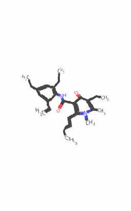 CCCCc1c(C(=O)Nc2c(CC)cc(CC)cc2CC)c(=O)c(CC)c(C)n1C